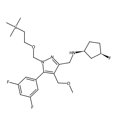 COCc1c(CN[C@H]2CC[C@@H](F)C2)nn(COCC[Si](C)(C)C)c1-c1cc(F)cc(F)c1